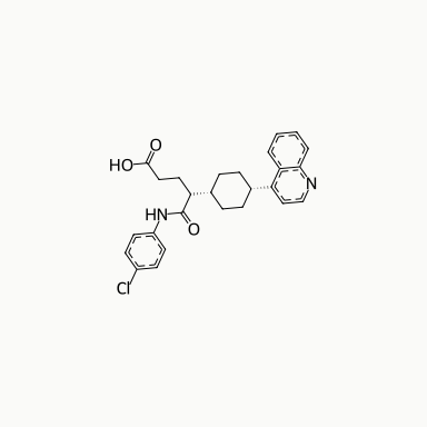 O=C(O)CCC(C(=O)Nc1ccc(Cl)cc1)[C@H]1CC[C@@H](c2ccnc3ccccc32)CC1